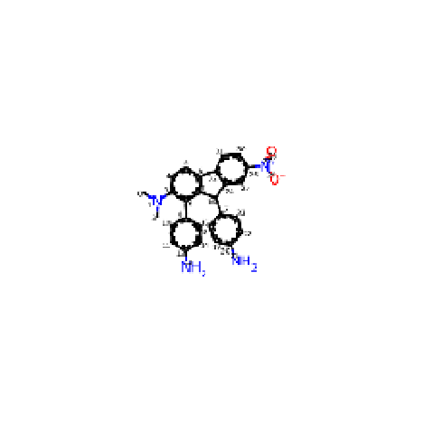 CN(C)c1ccc2c(c1-c1ccc(N)cc1)C(c1ccc(N)cc1)c1cc([N+](=O)[O-])ccc1-2